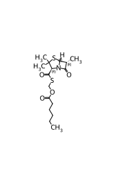 CCCCCC(=O)OCSC(=O)[C@@H]1N2C(=O)[C@@H](C)[C@H]2SC1(C)C